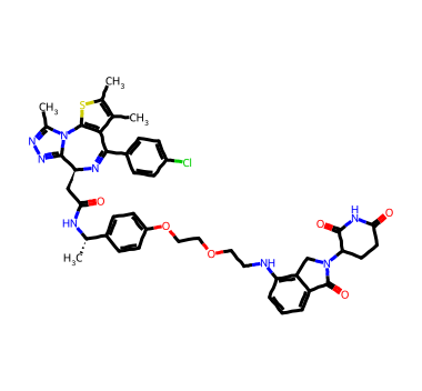 Cc1sc2c(c1C)C(c1ccc(Cl)cc1)=N[C@@H](CC(=O)N[C@@H](C)c1ccc(OCCOCCNc3cccc4c3CN(C3CCC(=O)NC3=O)C4=O)cc1)c1nnc(C)n1-2